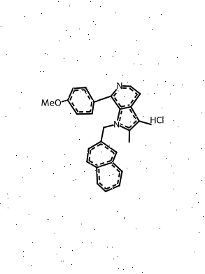 COc1ccc(-c2nccc3c(C)c(C)n(Cc4ccc5ccccc5c4)c23)cc1.Cl